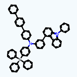 c1ccc(-c2ccc(-c3ccc(N(c4ccc([Si](c5ccccc5)(c5ccccc5)c5ccccc5)cc4)c4cccc(-c5cccc6c5c5ccccc5n6-c5ccccc5)c4)cc3)cc2)cc1